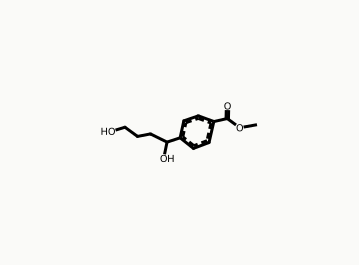 COC(=O)c1ccc(C(O)CCCO)cc1